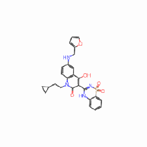 O=c1c(C2=NS(=O)(=O)c3ccccc3N2)c(O)c2cc(NCc3ccco3)ccc2n1CCC1CC1